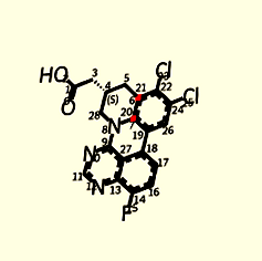 O=C(O)C[C@@H]1CCCN(c2ncnc3c(F)ccc(-c4ccc(Cl)c(Cl)c4)c23)C1